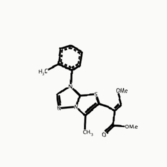 CO/C=C(/C(=O)OC)C1=C(C)N2N=CN(c3ccccc3C)C2S1